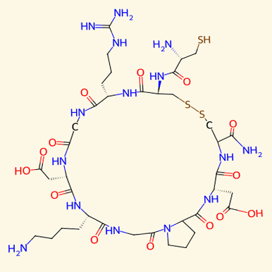 N=C(N)NCCC[C@@H]1NC(=O)[C@@H](NC(=O)[C@H](N)CS)CSSCC(C(N)=O)NC(=O)[C@H](CC(=O)O)NC(=O)C2CCCN2C(=O)CNC(=O)[C@H](CCCCN)NC(=O)[C@H](CC(=O)O)NC(=O)CNC1=O